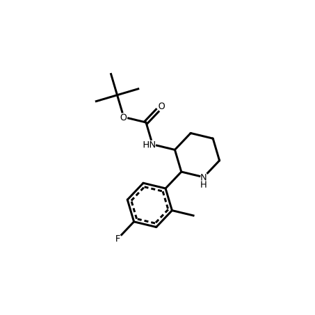 Cc1cc(F)ccc1C1NCCCC1NC(=O)OC(C)(C)C